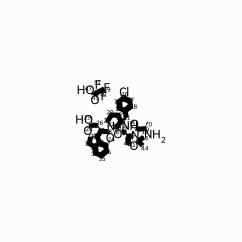 C[C@H](N)C(=O)N1[C@H](C(=O)N[C@@]2(Cc3ccc(Cl)cc3)CCCN(C(=O)[C@@H](CC(=O)O)[C@H]3CCc4ccccc43)C2)COC1(C)C.O=C(O)C(F)(F)F